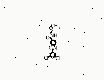 COCCNC(=O)c1ccc2nc(-c3cc(Cl)cc(Cl)c3)oc2c1